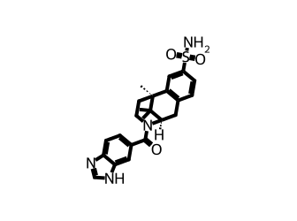 CC1(C)[C@H]2Cc3ccc(S(N)(=O)=O)cc3[C@]1(C)CCN2C(=O)c1ccc2nc[nH]c2c1